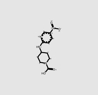 O=C(O)N1CCC(Nc2ccc([N+](=O)[O-])cn2)CC1